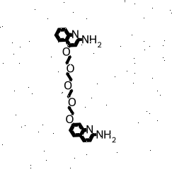 Nc1ccc2ccc(OCCOCCOCCOCCOc3cc(N)nc4ccccc34)cc2n1